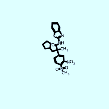 CC(CC1CCCC1)(C(=O)Nc1nc2ccccc2s1)c1ccc(S(C)(=O)=O)c([N+](=O)[O-])c1